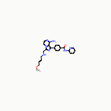 COC/C=C/CNCc1nc(-c2ccc(C(=O)Nc3ccccn3)cc2)c2c(N)nccn12